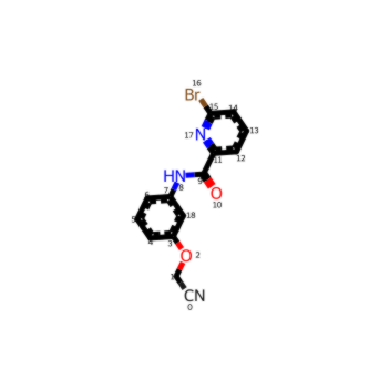 N#CCOc1cccc(NC(=O)c2cccc(Br)n2)c1